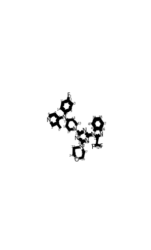 Cc1cnccc1N(c1ccc(F)cc1)C1CCN(c2nc(N3CCOCC3)nc(-n3c(C(F)F)nc4ccccc43)n2)CC1